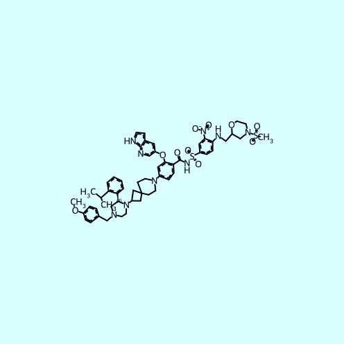 COc1ccc(CN2CCN(C3CC4(CCN(c5ccc(C(=O)NS(=O)(=O)c6ccc(NCC7CN(S(C)(=O)=O)CCO7)c([N+](=O)[O-])c6)c(Oc6cnc7[nH]ccc7c6)c5)CC4)C3)[C@H](c3ccccc3C(C)C)C2)cc1